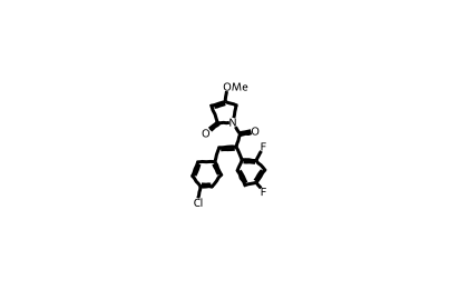 COC1=CC(=O)N(C(=O)/C(=C/c2ccc(Cl)cc2)c2ccc(F)cc2F)C1